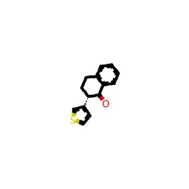 O=C1c2ccccc2CC[C@H]1c1ccsc1